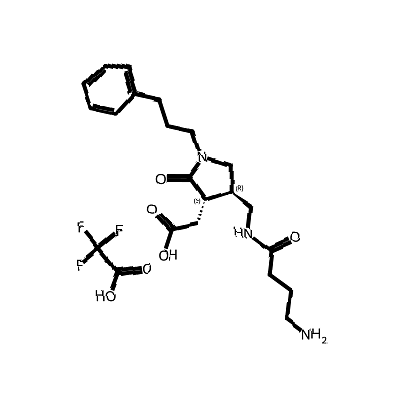 NCCCC(=O)NC[C@@H]1CN(CCCc2ccccc2)C(=O)[C@H]1CC(=O)O.O=C(O)C(F)(F)F